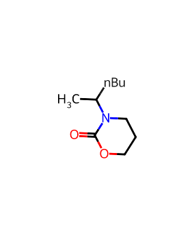 CCCCC(C)N1CCCOC1=O